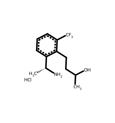 CC(O)CCc1c([C@@H](C)N)cccc1C(F)(F)F.Cl